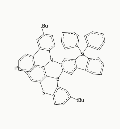 CC(C)c1cc2c3c(c1)N(c1ccc(C(C)(C)C)cc1-c1ccccc1)c1cc4c(cc1B3c1cc(C(C)(C)C)ccc1S2)-c1ccccc1[Si]4(c1ccccc1)c1ccccc1